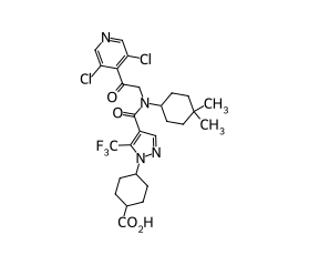 CC1(C)CCC(N(CC(=O)c2c(Cl)cncc2Cl)C(=O)c2cnn(C3CCC(C(=O)O)CC3)c2C(F)(F)F)CC1